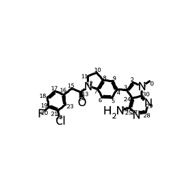 Cn1cc(-c2ccc3c(c2)CCN3C(=O)Cc2ccc(F)c(Cl)c2)c2c(N)ncnc21